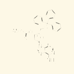 CSC(=S)O[C@H]1C[C@H](n2cnc3c(N)ncnc32)O[C@@H]1COC(c1ccccc1)(c1ccccc1)c1ccccc1